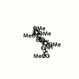 COC(=O)C=CC(=O)Nc1cc(CS(=O)(=O)/C=C/c2c(OC)cc(OC)cc2OC)ccc1OC